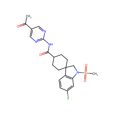 CC(=O)c1cnc(NC(=O)C2CCC3(CC2)CN(S(C)(=O)=O)c2cc(F)ccc23)nc1